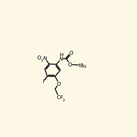 CC(C)(C)OC(=O)Nc1cc(OCC(F)(F)F)c(I)cc1[N+](=O)[O-]